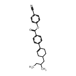 CCC(C)CC1CC=C(c2ccc(C(=O)Oc3ccc(C#N)cc3)cc2)CC1